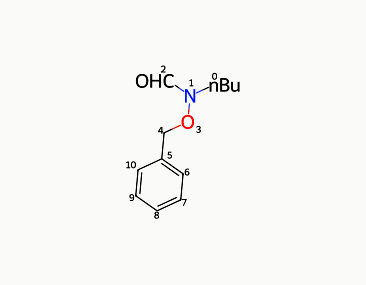 [CH2]C[CH]CN(C=O)OCc1ccccc1